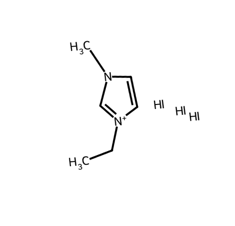 CC[n+]1ccn(C)c1.I.I.I